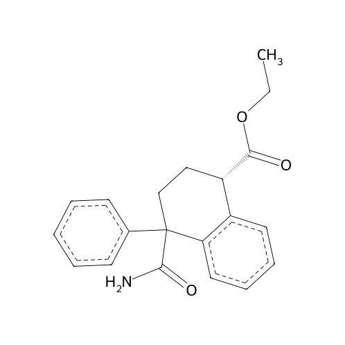 CCOC(=O)[C@H]1CCC(C(N)=O)(c2ccccc2)c2ccccc21